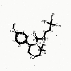 COc1ccc(C2COCC(C)(C)N2C(=O)NCCC(F)(F)F)cc1